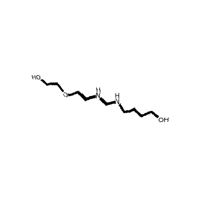 OCCCCNCNCCOCCO